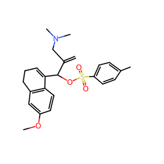 C=C(CN(C)C)C(OS(=O)(=O)c1ccc(C)cc1)C1=CCCc2cc(OC)ccc21